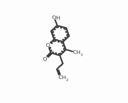 C=CCc1c(C)c2ccc(O)cc2oc1=O